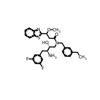 CCc1cccc(CN(C[C@@H](O)[C@@H](N)Cc2cc(F)cc(F)c2)C(=O)CC(OC)c2nc3ccccc3s2)c1